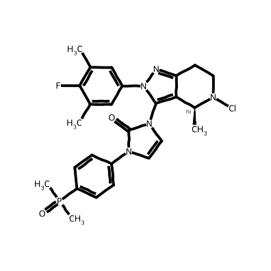 Cc1cc(-n2nc3c(c2-n2ccn(-c4ccc(P(C)(C)=O)cc4)c2=O)[C@H](C)N(Cl)CC3)cc(C)c1F